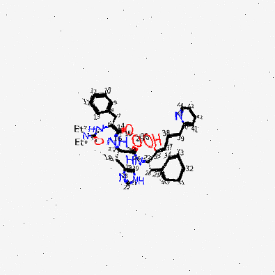 CCN(CC)C(=O)N[C@@H](Cc1ccccc1)C(=O)N[C@@H](Cc1c[nH]cn1)C(=O)N[C@@H](CC1CCCCC1)[C@@H](O)CCCc1ccccn1